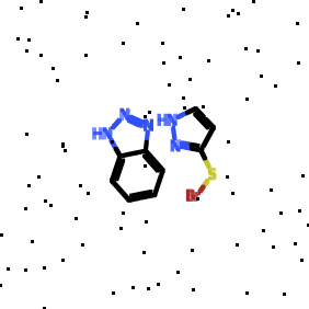 BrSc1cc[nH]n1.c1ccc2[nH]nnc2c1